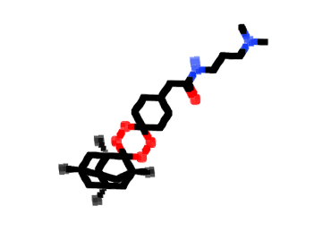 CN(C)CCCNC(=O)CC1CCC2(CC1)OOC1(OO2)[C@H]2C[C@@H]3C[C@@H](C[C@H]1C3)C2